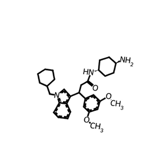 COc1cc(OC)cc(C(CC(=O)N[C@H]2CC[C@H](N)CC2)c2cn(CC3CCCCC3)c3ccccc23)c1